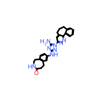 Nc1nc(Nc2ccc3c(c2)CCC(=O)NCC3)nn1-c1cc2c(nn1)-c1ccccc1CCC2